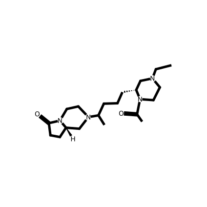 CCN1CCN(C(C)=O)[C@H](CCCC(C)N2CCN3C(=O)CC[C@H]3C2)C1